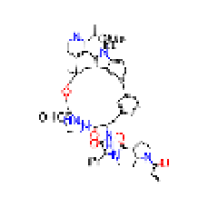 C=CC(=O)N1CC[C@H](C(=O)N(C)[C@H](C(=O)N[C@H]2Cc3cccc(c3)-c3ccc4c(c3)c(c(-c3cccnc3[C@H](C)OC)n4CC)CC(C)(C)COC[C@@]3(C=O)CCCN(N3)C2=O)C(C)C)[C@@H]1C